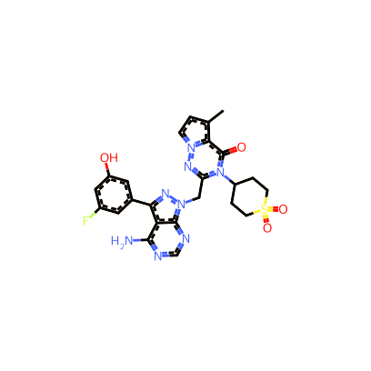 Cc1ccn2nc(Cn3nc(-c4cc(O)cc(F)c4)c4c(N)ncnc43)n(C3CCS(=O)(=O)CC3)c(=O)c12